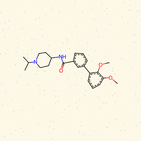 COc1cccc(-c2cccc(C(=O)NC3CCN(C(C)C)CC3)c2)c1OC